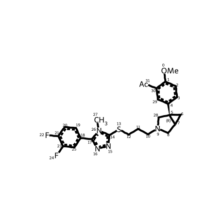 COc1ccc([C@@]23CC2CN(CCCSc2nnc(-c4ccc(F)c(F)c4)n2C)C3)cc1C(C)=O